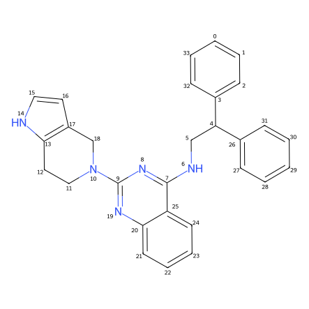 c1ccc(C(CNc2nc(N3CCc4[nH]ccc4C3)nc3ccccc23)c2ccccc2)cc1